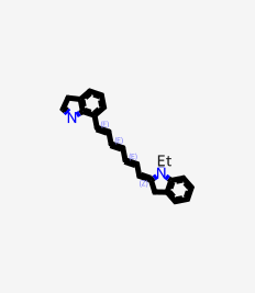 CCN1\C(=C/C=C/C=C/C=C/c2cccc3c2N=CC3)Cc2ccccc21